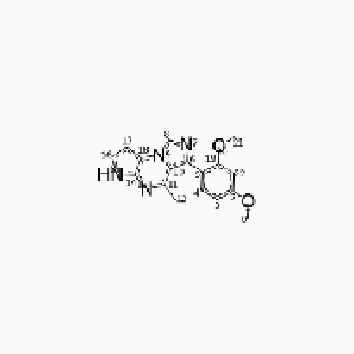 COc1ccc(-c2ncn3c2c(C)nc2[nH]ccc23)c(OC)c1